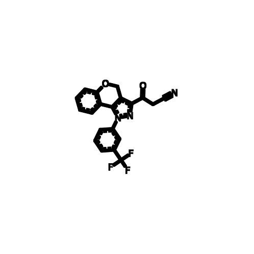 N#CCC(=O)c1nn(-c2cccc(C(F)(F)F)c2)c2c1COc1ccccc1-2